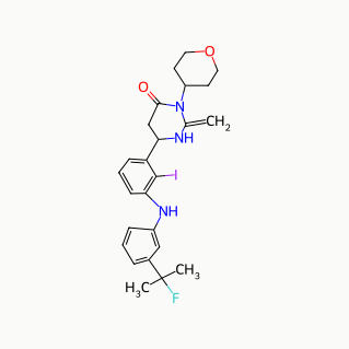 C=C1NC(c2cccc(Nc3cccc(C(C)(C)F)c3)c2I)CC(=O)N1C1CCOCC1